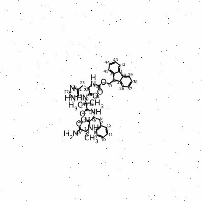 C[C@H](NC(=O)[C@H](Cc1ccccc1)NC(=O)C(C)(C)NC(=O)[C@H](Cc1c[nH]cn1)NC(=O)OCC1c2ccccc2-c2ccccc21)C(N)=O